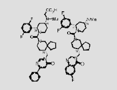 CC(C)(C)N(CC(=O)O)[C@@H]1CCN(C(=O)N2CC[C@@H](Cn3cnc(-c4ccccc4)cc3=O)C3(CCCC3)C2)[C@H](c2cc(F)ccc2F)C1.CN[C@@H]1CCN(C(=O)N2CC[C@@H](Cn3cnc4ccc(F)cc4c3=O)C3(CCCC3)C2)[C@H](c2cc(F)cc(F)c2)C1